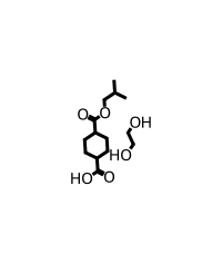 CC(C)COC(=O)C1CCC(C(=O)O)CC1.OCCO